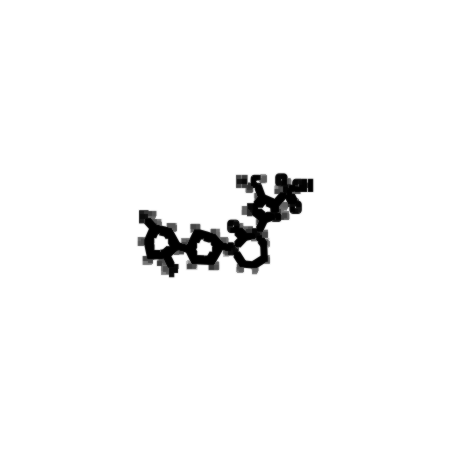 Cc1nc(N2CCCCN(c3ccc(-c4cc(F)ccc4F)cc3)C2=O)sc1S(=O)(=O)O